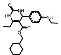 CCNc1ccc(C2NC(=O)NC(CC)=C2C(=O)OCC2CCCCC2)cc1